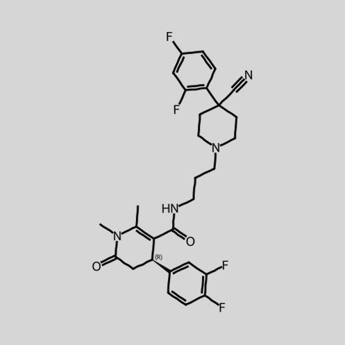 CC1=C(C(=O)NCCCN2CCC(C#N)(c3ccc(F)cc3F)CC2)[C@@H](c2ccc(F)c(F)c2)CC(=O)N1C